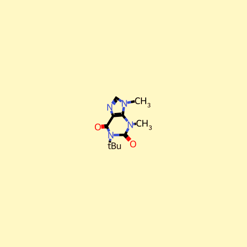 Cn1cnc2c(=O)n(C(C)(C)C)c(=O)n(C)c21